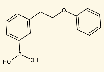 OB(O)c1cccc(CCOc2ccccc2)c1